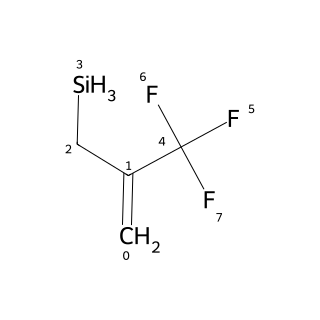 C=C(C[SiH3])C(F)(F)F